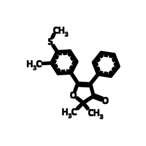 CSc1ccc(C2=C(c3ccccc3)C(=O)C(C)(C)O2)cc1C